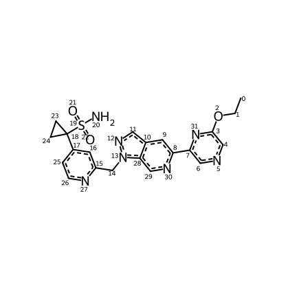 CCOc1cncc(-c2cc3cnn(Cc4cc(C5(S(N)(=O)=O)CC5)ccn4)c3cn2)n1